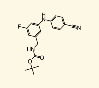 CC(C)(C)OC(=O)NCc1cc(F)cc(Nc2ccc(C#N)cc2)c1